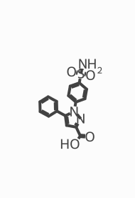 NS(=O)(=O)c1ccc(-n2nc(C(=O)O)cc2-c2ccccc2)cc1